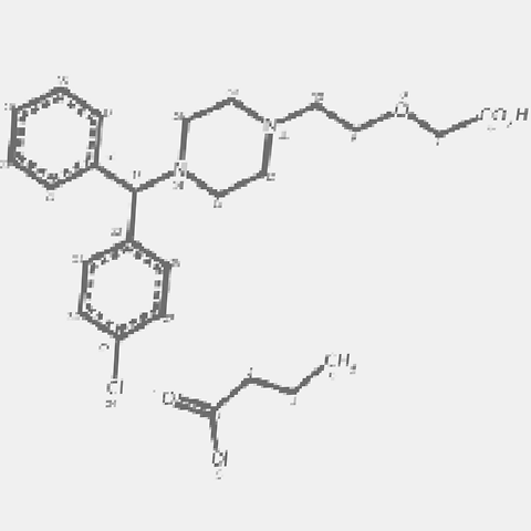 CCCC(=O)O.O=C(O)COCCN1CCN(C(c2ccccc2)c2ccc(Cl)cc2)CC1